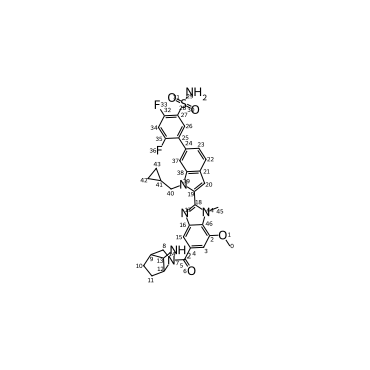 COc1cc(C(=O)N2CC3CCC2C3N)cc2nc(-c3cc4ccc(-c5cc(S(N)(=O)=O)c(F)cc5F)cc4n3CC3CC3)n(C)c12